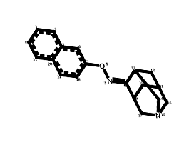 c1ccc2cc(ON=C3C4CC5CC3CN(C5)C4)ccc2c1